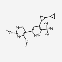 [2H]C([2H])([2H])c1nnc(-c2cnc(OC)nc2OC)cc1C1CC1C1CC1